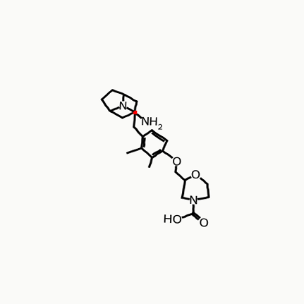 Cc1c(CCN2C3CCC2CC(N)C3)ccc(OCC2CN(C(=O)O)CCO2)c1C